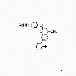 CC(=O)Nc1ccc(OC(=O)C=C(C)c2ccc(-c3ccc(F)cc3F)cc2)cc1